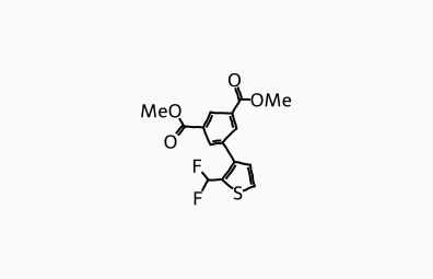 COC(=O)c1cc(C(=O)OC)cc(-c2ccsc2C(F)F)c1